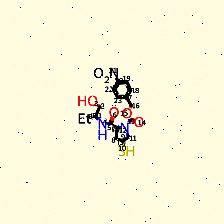 CC[C@H](CO)NC(=O)[C@@H]1C[C@H](S)CN1C(=O)OCc1ccc([N+](=O)[O-])cc1